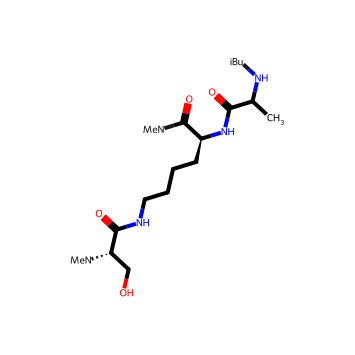 CCC(C)NC(C)C(=O)N[C@@H](CCCCNC(=O)[C@H](CO)NC)C(=O)NC